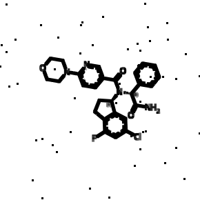 NC(=O)[C@@H](c1ccccc1)N(C(=O)c1ccc(N2CCOCC2)nc1)[C@@H]1CCc2c(F)cc(Cl)cc21